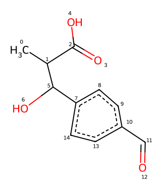 CC(C(=O)O)C(O)c1ccc(C=O)cc1